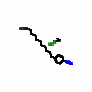 CCCCCCCCCCCCCCCCCCCCc1ccc([N+]#N)cc1.Cl.[Cl-].[Zn]